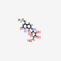 C=Cc1cc(=O)[nH]c2cc(N[C@@H]3C(O)OC(CO)[C@@H](O)C3O)ccc12